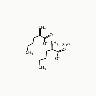 C=C(CCCC)C(=O)[O-].C=C(CCCC)C(=O)[O-].[Zn+2]